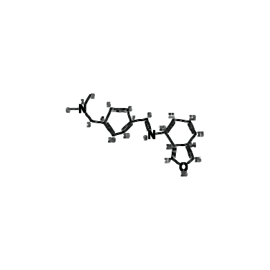 CN(C)Cc1ccc(/C=N/c2cccc3cocc23)cc1